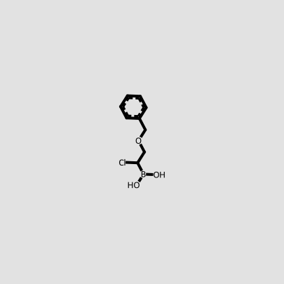 OB(O)C(Cl)COCc1ccccc1